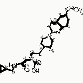 COc1ccc2nc(N3CCC(CCN(CC(=O)NCC4CC4)C(=O)O)CC3)ccc2c1